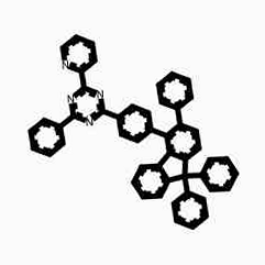 c1ccc(-c2nc(-c3ccc(-c4c(-c5ccccc5)ccc5c4-c4ccccc4C5(c4ccccc4)c4ccccc4)cc3)nc(-c3ccccn3)n2)cc1